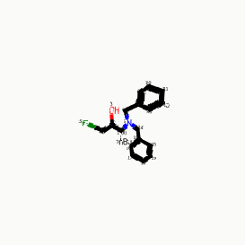 CCCC[C@H](C(O)CF)N(Cc1ccccc1)Cc1ccccc1